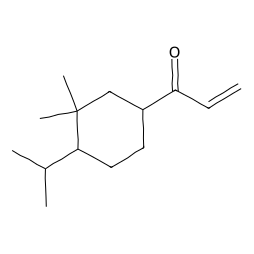 C=CC(=O)C1CCC(C(C)C)C(C)(C)C1